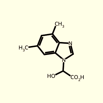 Cc1cc(C)c2ncn(C(O)C(=O)O)c2c1